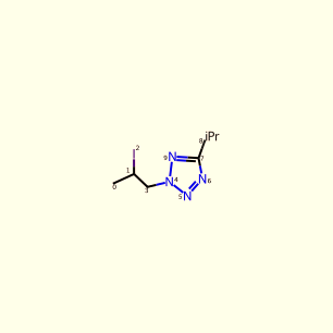 CC(I)Cn1nnc(C(C)C)n1